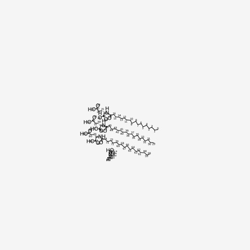 CCCCCCCCCCCCCCCCCC(=O)N[C@@H](CCC(=O)O)C(=O)O.CCCCCCCCCCCCCCCCCC(=O)N[C@@H](CCC(=O)O)C(=O)O.CCCCCCCCCCCCCCCCCC(=O)N[C@@H](CCC(=O)O)C(=O)O.[Al+3].[Al+3].[Na+].[Na+].[OH]